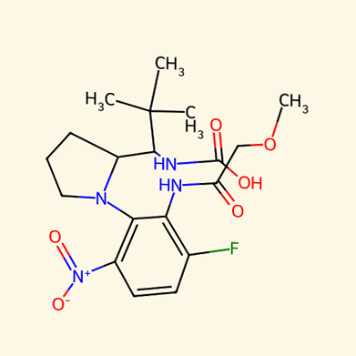 COCC(=O)Nc1c(F)ccc([N+](=O)[O-])c1N1CCCC1C(NC(=O)O)C(C)(C)C